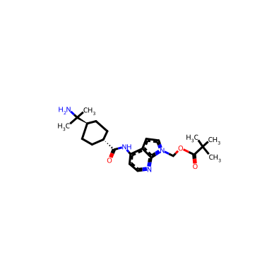 CC(C)(C)C(=O)OCn1ccc2c(NC(=O)[C@H]3CC[C@H](C(C)(C)N)CC3)ccnc21